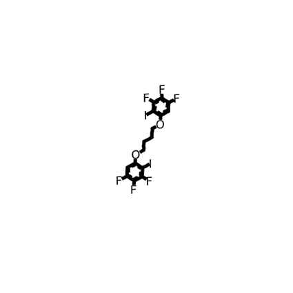 Fc1cc(OCCCCOc2cc(F)c(F)c(F)c2I)c(I)c(F)c1F